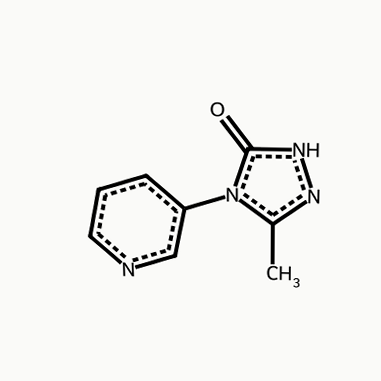 Cc1n[nH]c(=O)n1-c1cccnc1